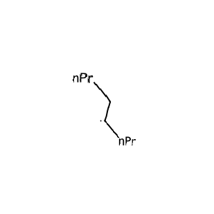 [CH2]CC[CH]CCCC